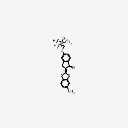 Cc1ccc2c(c1)S/C(=C1/Cc3cc(OC[SH](C)(C)(C)C)ccc3C1=O)S2